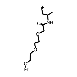 CCOCCOCCOCC(=O)NC(C)CC(C)C